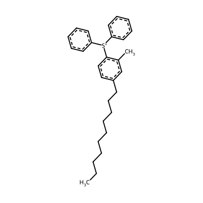 CCCCCCCCCCc1ccc([S+](c2ccccc2)c2ccccc2)c(C)c1